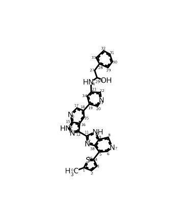 Cc1ccc(-c2cncc3[nH]c(-c4n[nH]c5ncc(-c6cncc(NC(O)Cc7ccccc7)c6)cc45)nc23)s1